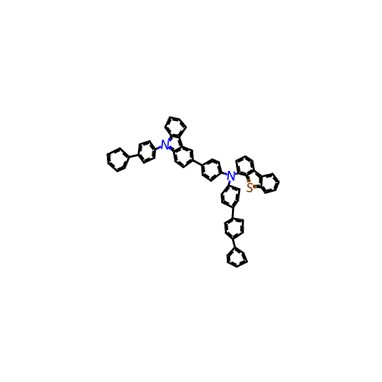 c1ccc(-c2ccc(-c3ccc(N(c4ccc(-c5ccc6c(c5)c5ccccc5n6-c5ccc(-c6ccccc6)cc5)cc4)c4cccc5c4sc4ccccc45)cc3)cc2)cc1